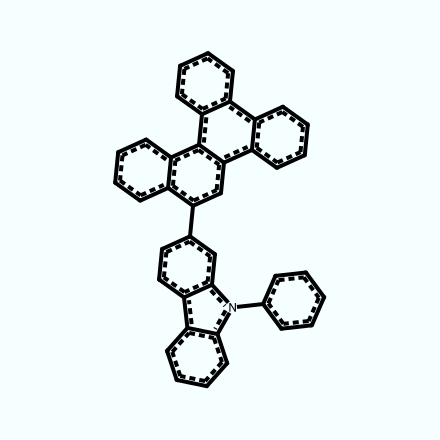 c1ccc(-n2c3ccccc3c3ccc(-c4cc5c6ccccc6c6ccccc6c5c5ccccc45)cc32)cc1